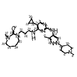 Cc1nn(C2CCN(C)CC2)cc1Nc1ncc(C2CC2)c(NCCCN2CCCCN(C)C2=O)n1